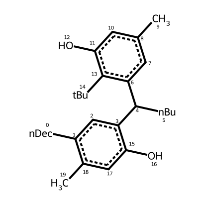 CCCCCCCCCCc1cc(C(CCCC)c2cc(C)cc(O)c2C(C)(C)C)c(O)cc1C